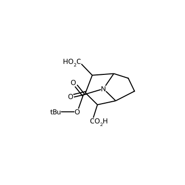 CC(C)(C)OC(=O)N1C2CCC1C(C(=O)O)C(=O)C2C(=O)O